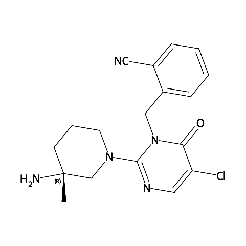 C[C@@]1(N)CCCN(c2ncc(Cl)c(=O)n2Cc2ccccc2C#N)C1